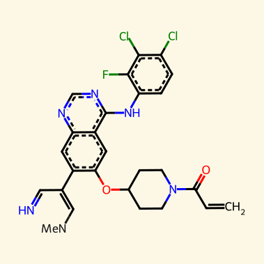 C=CC(=O)N1CCC(Oc2cc3c(Nc4ccc(Cl)c(Cl)c4F)ncnc3cc2/C(C=N)=C/NC)CC1